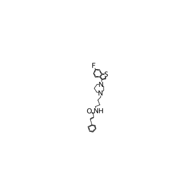 O=C(/C=C/c1ccccc1)NCCCCN1CCCN(c2csc3cc(F)ccc23)CC1